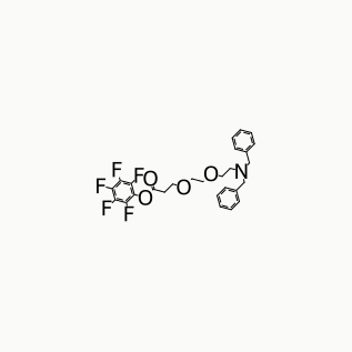 O=C(CCOCCOCCN(Cc1ccccc1)Cc1ccccc1)Oc1c(F)c(F)c(F)c(F)c1F